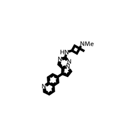 CNC1(C)CC(Nc2ncc3c(-c4ccc5ncccc5c4)ccn3n2)C1